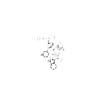 CN(C)c1nc(C(=O)N2[C@@H]3CC[C@@H](C3)[C@H]2CNC(=O)c2n[nH]c3ccccc23)c(-c2cccc(F)c2)s1